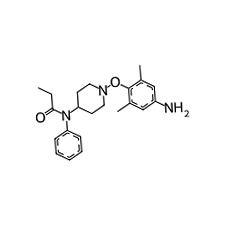 CCC(=O)N(c1ccccc1)C1CCN(Oc2c(C)cc(N)cc2C)CC1